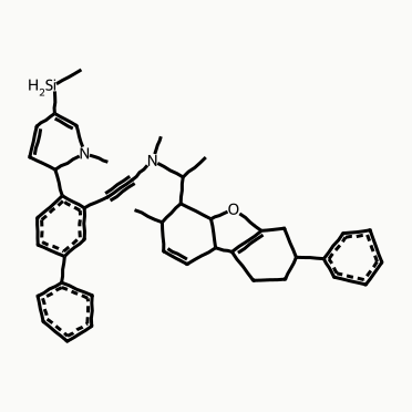 C[SiH2]C1=CN(C)C(c2ccc(-c3ccccc3)cc2C#CN(C)C(C)C2C(C)C=CC3C4=C(CC(c5ccccc5)CC4)OC32)C=C1